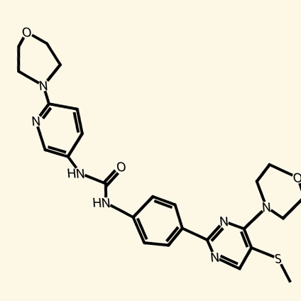 CSc1cnc(-c2ccc(NC(=O)Nc3ccc(N4CCOCC4)nc3)cc2)nc1N1CCOCC1